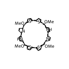 COc1c2nc(c3ccc([nH]3)c(OC)c3ccc(s3)c3ccc(s3)c(OC)c3nc(c4ccc([nH]4)c(OC)c4ccc(s4)c4ccc1s4)C=C3)C=C2